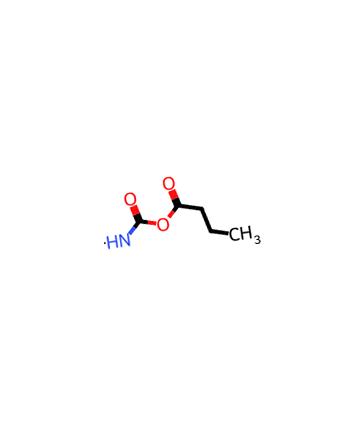 CCCC(=O)OC([NH])=O